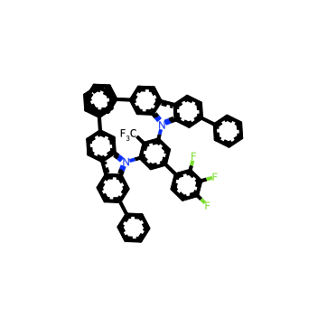 Fc1ccc(-c2cc(-n3c4cc(-c5ccccc5)ccc4c4ccc(-c5ccccc5)cc43)c(C(F)(F)F)c(-n3c4cc(-c5ccccc5)ccc4c4ccc(-c5ccccc5)cc43)c2)c(F)c1F